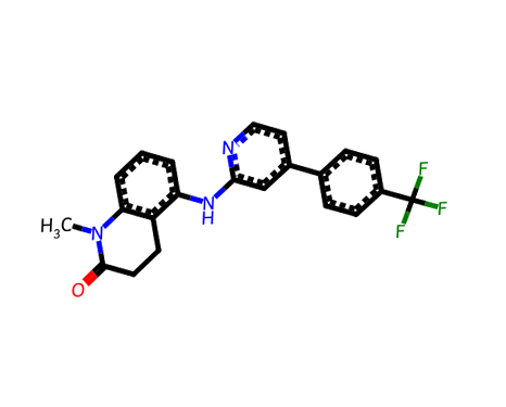 CN1C(=O)CCc2c(Nc3cc(-c4ccc(C(F)(F)F)cc4)ccn3)cccc21